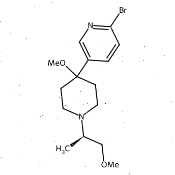 COC[C@@H](C)N1CCC(OC)(c2ccc(Br)nc2)CC1